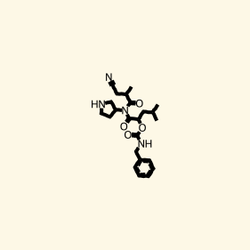 CC(C)CC(OC(=O)NCc1ccccc1)C(=O)N(C(=O)C(C)CC#N)C1CCNC1